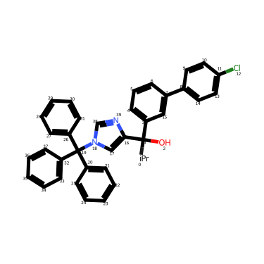 CC(C)C(O)(c1cccc(-c2ccc(Cl)cc2)c1)c1cn(C(c2ccccc2)(c2ccccc2)c2ccccc2)cn1